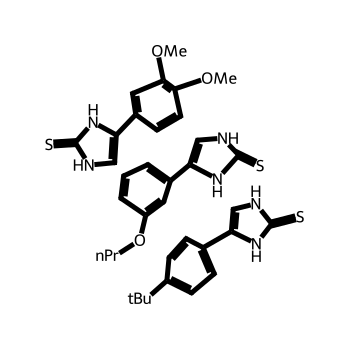 CC(C)(C)c1ccc(-c2c[nH]c(=S)[nH]2)cc1.CCCOc1cccc(-c2c[nH]c(=S)[nH]2)c1.COc1ccc(-c2c[nH]c(=S)[nH]2)cc1OC